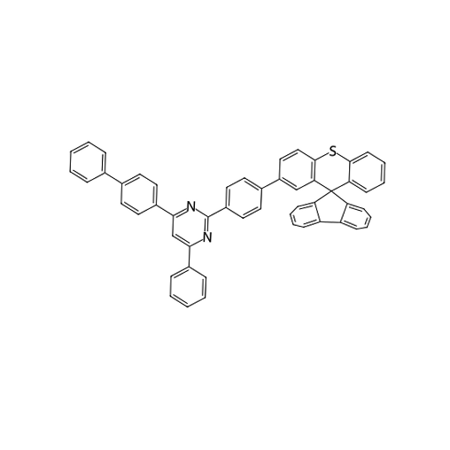 c1ccc(-c2ccc(-c3cc(-c4ccccc4)nc(-c4ccc(-c5ccc6c(c5)C5(c7ccccc7S6)c6ccccc6-c6ccccc65)cc4)n3)cc2)cc1